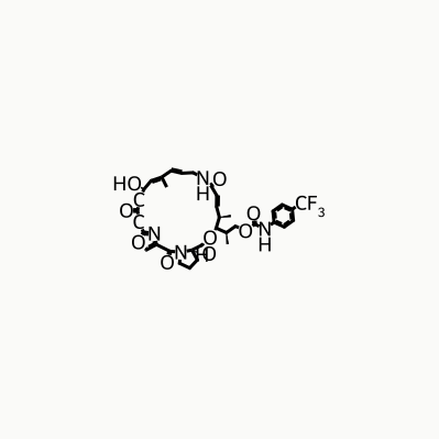 CC1=C\[C@@H](O)CC(=O)Cc2nc(co2)C(=O)N2CCC[C@@H]2C(=O)O[C@H]([C@H](C)COC(=O)Nc2ccc(C(F)(F)F)cc2)[C@H](C)/C=C/C(=O)NC\C=C\1